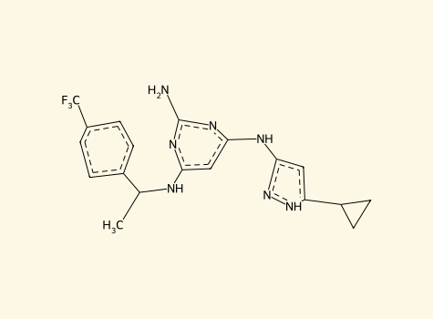 CC(Nc1cc(Nc2cc(C3CC3)[nH]n2)nc(N)n1)c1ccc(C(F)(F)F)cc1